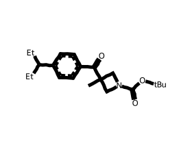 CCC(CC)c1ccc(C(=O)C2(C)CN(C(=O)OC(C)(C)C)C2)cc1